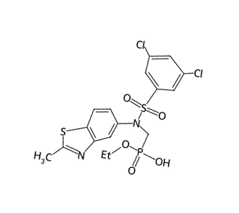 CCOP(=O)(O)CN(c1ccc2sc(C)nc2c1)S(=O)(=O)c1cc(Cl)cc(Cl)c1